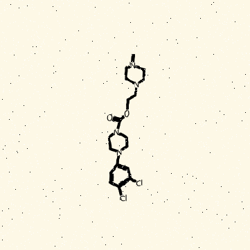 CN1CCN(CCOC(=O)N2CCN(c3ccc(Cl)c(Cl)c3)CC2)CC1